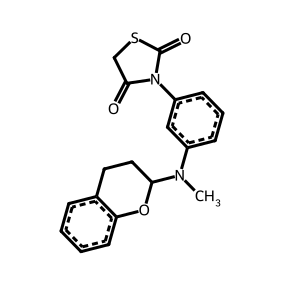 CN(c1cccc(N2C(=O)CSC2=O)c1)C1CCc2ccccc2O1